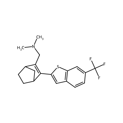 CN(C)CC1=C(c2cc3ccc(C(F)(F)F)cc3s2)C2CCC1C2